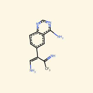 N=C(/C(=C\N)c1ccc2ncnc(N)c2c1)C(F)(F)F